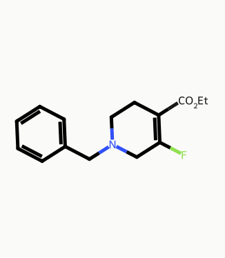 CCOC(=O)C1=C(F)CN(Cc2ccccc2)CC1